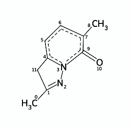 CC1=Nn2c(ccc(C)c2=O)C1